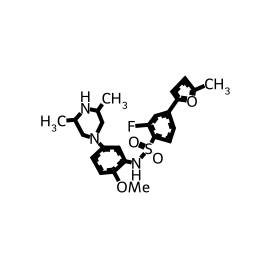 COc1ccc(N2CC(C)NC(C)C2)cc1NS(=O)(=O)c1ccc(-c2ccc(C)o2)cc1F